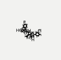 Cc1ccc(-c2nn3cc(C(=O)N[C@@H](c4ccc(F)cc4)C(F)(F)CO)c(C4CC4)c3c(=O)[nH]2)cc1Cl